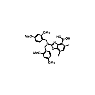 COc1ccc(CN(Cc2ccc(OC)cc2OC)c2nc3c(B(O)O)c(F)cc(F)c3o2)c(OC)c1